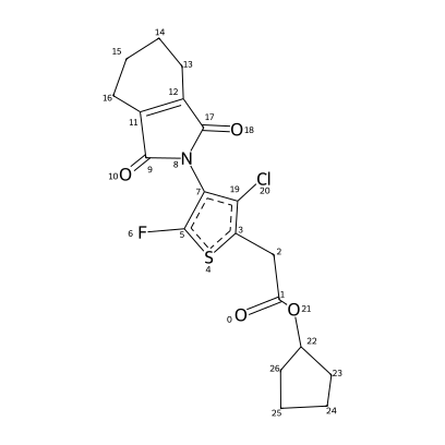 O=C(Cc1sc(F)c(N2C(=O)C3=C(CCCC3)C2=O)c1Cl)OC1CCCC1